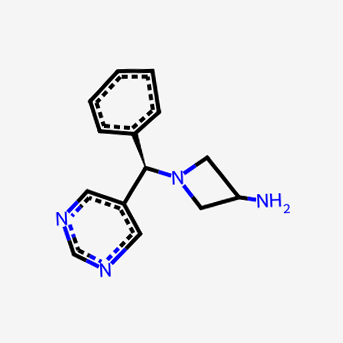 NC1CN([C@H](c2ccccc2)c2cncnc2)C1